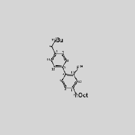 CCCCCCCCc1ccc(-c2ccc(CC(C)CC)cc2)c(F)c1